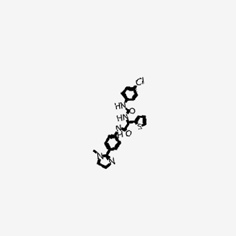 CN1CCN=C1c1ccc(NC(=O)C(NC(=O)Nc2ccc(Cl)cc2)c2cccs2)cc1